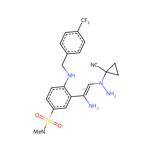 CNS(=O)(=O)c1ccc(NCc2ccc(C(F)(F)F)cc2)c(/C(N)=C/N(N)C2(C#N)CC2)c1